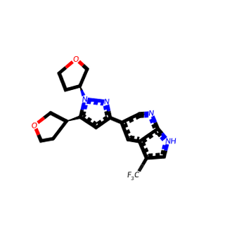 FC(F)(F)c1c[nH]c2ncc(-c3cc([C@H]4CCOC4)n([C@H]4CCOC4)n3)cc12